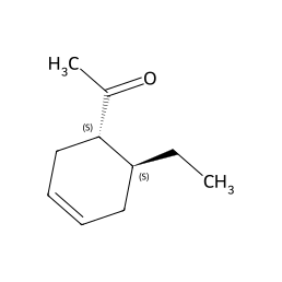 CC[C@H]1CC=CC[C@@H]1C(C)=O